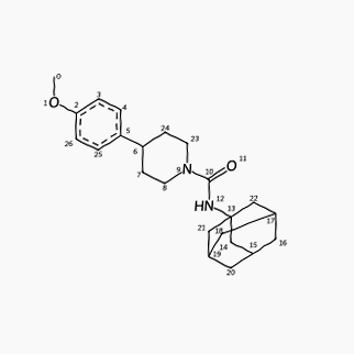 COc1ccc(C2CCN(C(=O)NC34CC5CC(CC(C5)C3)C4)CC2)cc1